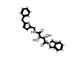 O=C(NCC1CC=C(Cc2ccccc2)S1)[C@H](O)[C@@H](O)C(=O)N1Cc2ccccc2C1